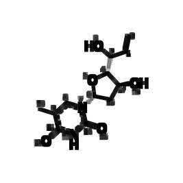 C=CC(O)[C@H]1O[C@@H](n2cc(C)c(=O)[nH]c2=O)C[C@@H]1O